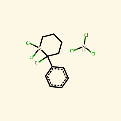 ClC1(c2ccccc2)CCCC[Si]1(Cl)Cl.Cl[SiH](Cl)Cl